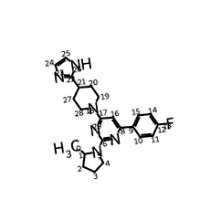 CC1CCCN1c1nc(-c2ccc(F)cc2)cc(N2CCC(c3ncc[nH]3)CC2)n1